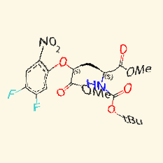 COC(=O)[C@H](C[C@H](Oc1cc(F)c(F)cc1[N+](=O)[O-])C(=O)OC)NC(=O)OC(C)(C)C